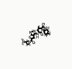 Cc1cc(Nc2ncnc3sc(C(=O)N4CCC(N(C)C)C4)cc23)c(=O)n2c1C(=O)NC21CCC(F)(F)CC1